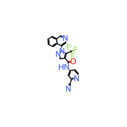 N#Cc1cc(NC(=O)c2cnn(-c3cncc4ccccc34)c2C(F)(F)F)ccn1